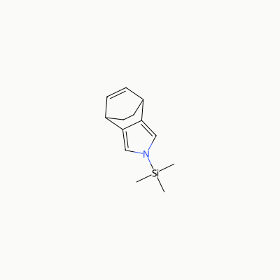 C[Si](C)(C)n1cc2c(c1)C1C=CC2CC1